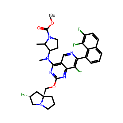 CC1C(N(C)c2nc(OC[C@@]34CCCN3C[C@H](F)C4)nc3c(F)c(-c4cccc5ccc(F)c(F)c45)ncc23)CCN1C(=O)OC(C)(C)C